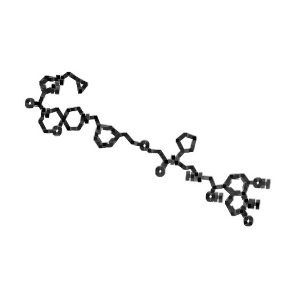 O=C(c1ccn(CC2CC2)n1)N1CCOC2(CCN(Cc3cccc(CCOCCC(=O)N(CCNC[C@H](O)c4ccc(O)c5[nH]c(=O)ccc45)C4CCCC4)c3)CC2)C1